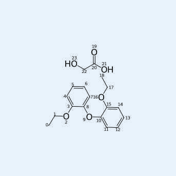 CCOc1ccccc1Oc1ccccc1OCC.O=C(O)CO